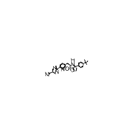 CC(C)(C)c1ccc(C(=O)NC(Cc2ccc(-c3ncc(C#N)cn3)cc2)C(=O)O)cc1